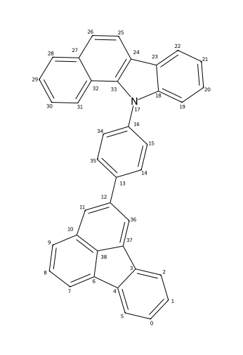 c1ccc2c(c1)-c1cccc3cc(-c4ccc(-n5c6ccccc6c6ccc7ccccc7c65)cc4)cc-2c13